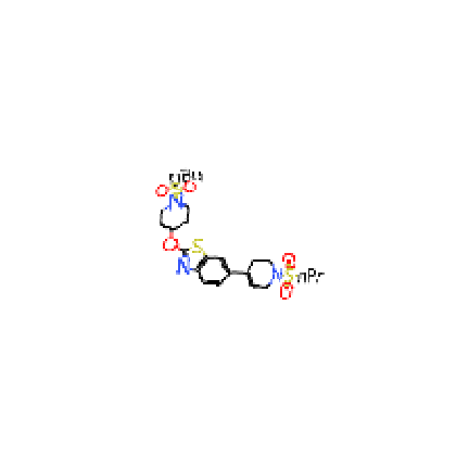 CCCCS(=O)(=O)N1CCC(Oc2nc3ccc(C4=CCN(S(=O)(=O)CCC)CC4)cc3s2)CC1